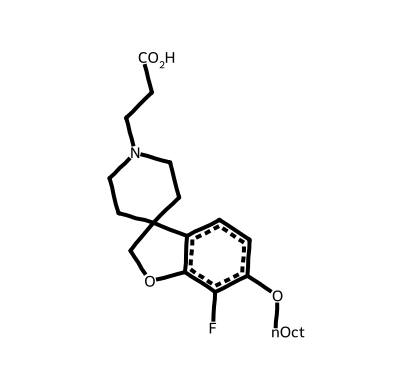 CCCCCCCCOc1ccc2c(c1F)OCC21CCN(CCC(=O)O)CC1